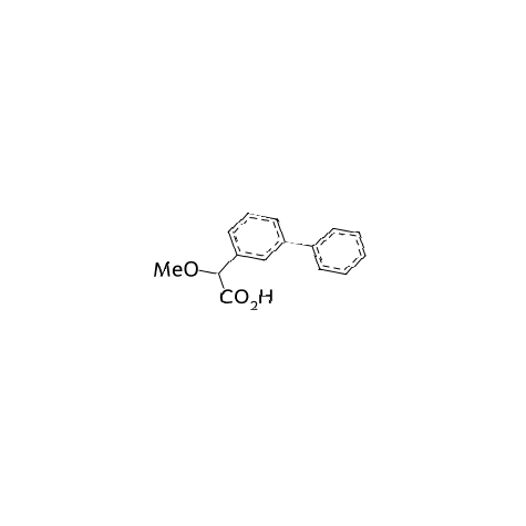 COC(C(=O)O)c1cccc(-c2ccccc2)c1